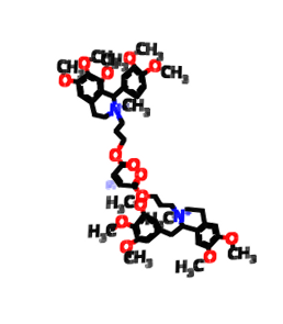 COc1ccc(C2c3c(cc(OC)c(OC)c3OC)CC[N+]2(C)CCCOC(=O)/C=C\C(=O)OCCC[N+]2(C)CCc3cc(OC)c(OC)cc3C2Cc2cc(OC)c(OC)c(OC)c2)cc1OC